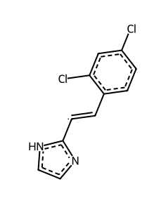 Clc1ccc(C=[C]c2ncc[nH]2)c(Cl)c1